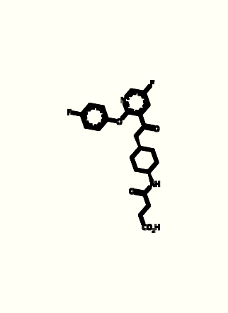 O=C(O)CCC(=O)N[C@H]1CC[C@@H](CC(=O)c2cc(F)cnc2Oc2ccc(F)cc2)CC1